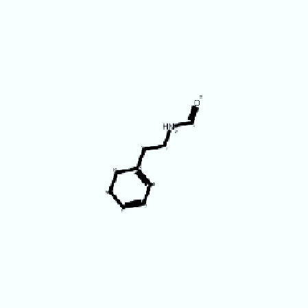 O=CNCCC1=CC=CCC1